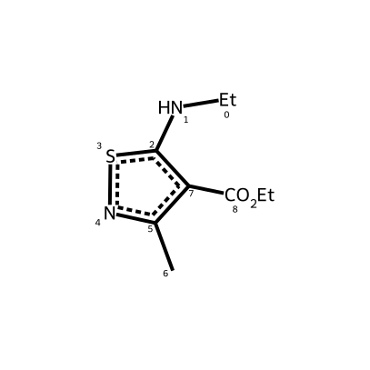 CCNc1snc(C)c1C(=O)OCC